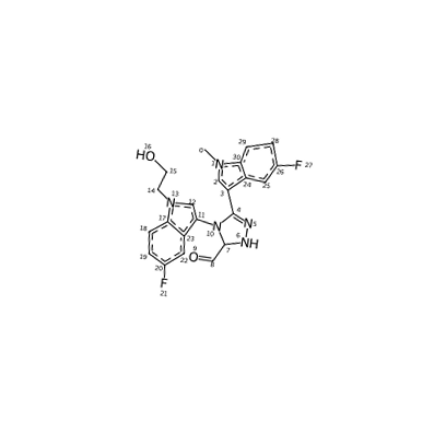 Cn1cc(C2=NNC(C=O)N2c2cn(CCO)c3ccc(F)cc23)c2cc(F)ccc21